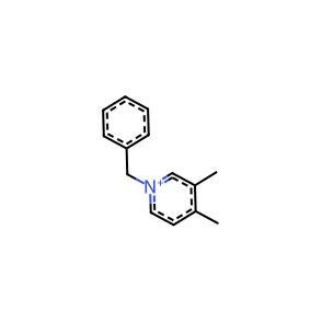 Cc1cc[n+](Cc2ccccc2)cc1C